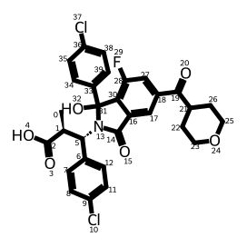 C[C@H](C(=O)O)[C@@H](c1ccc(Cl)cc1)N1C(=O)c2cc(C(=O)C3CCOCC3)cc(F)c2C1(O)c1ccc(Cl)cc1